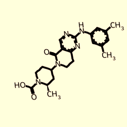 Cc1cc(C)cc(Nc2ncc3c(n2)CCN(C2CCN(C(=O)O)[C@H](C)C2)C3=O)c1